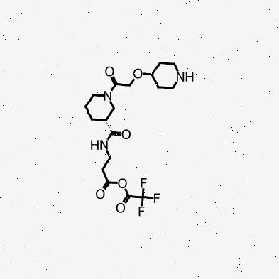 O=C(CCNC(=O)[C@@H]1CCCN(C(=O)COC2CCNCC2)C1)OC(=O)C(F)(F)F